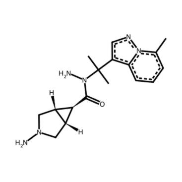 Cc1cccc2c(C(C)(C)N(N)C(=O)[C@H]3[C@@H]4CN(N)C[C@@H]43)cnn12